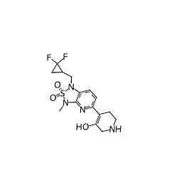 CN1c2nc(C3=C(O)CNCC3)ccc2N(CC2CC2(F)F)S1(=O)=O